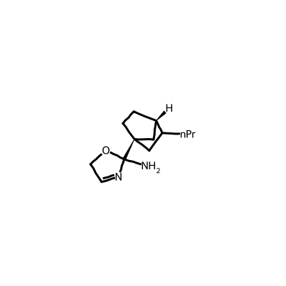 CCCC1C[C@]2(C3(N)N=CCO3)CC[C@H]1C2